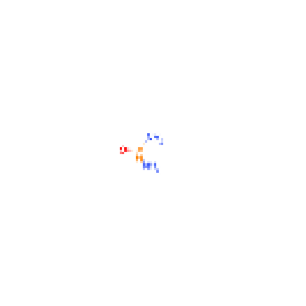 N[PH](N)=O